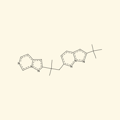 CC(C)(C)c1cc2ccc(CC(C)(C)c3cc4ccncn4n3)nn2n1